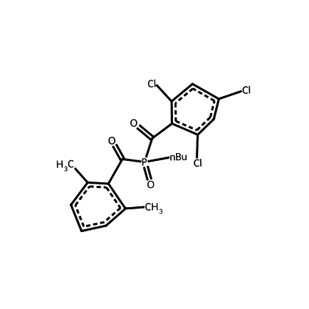 CCCCP(=O)(C(=O)c1c(C)cccc1C)C(=O)c1c(Cl)cc(Cl)cc1Cl